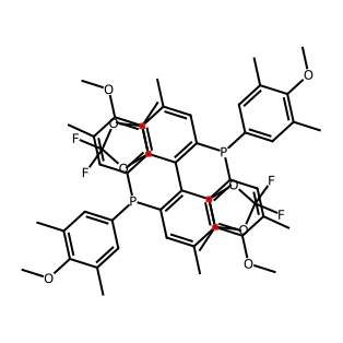 COc1c(C)cc(P(c2cc(C)c(OC)c(C)c2)c2cc(C)c3c(c2-c2c(P(c4cc(C)c(OC)c(C)c4)c4cc(C)c(OC)c(C)c4)cc(C)c4c2OC(F)(F)O4)OC(F)(F)O3)cc1C